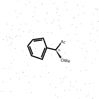 CO[C@H](C(C)=O)c1ccccc1